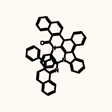 O=C1c2c(ccc3ccccc23)C2C(=c3c(c4ccccc4n3-c3nc(-c4ccccc4)c4ccc5ccccc5c4n3)=C3C=CC=CC32)N1c1ccccc1